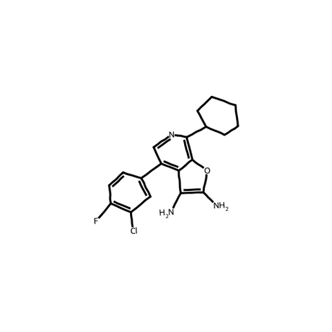 Nc1oc2c(C3CCCCC3)ncc(-c3ccc(F)c(Cl)c3)c2c1N